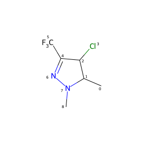 CC1C(Cl)C(C(F)(F)F)=NN1C